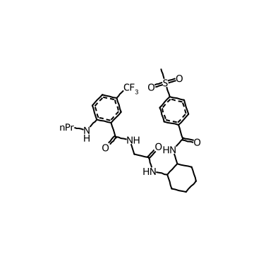 CCCNc1ccc(C(F)(F)F)cc1C(=O)NCC(=O)NC1CCCCC1NC(=O)c1ccc(S(C)(=O)=O)cc1